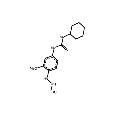 COc1cc(NC(=S)NC2CCCCC2)ccc1NNC=O